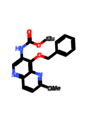 COc1ccc2ncc(NC(=O)OC(C)(C)C)c(OCc3ccccc3)c2n1